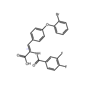 O=C(O)/C(=C/c1ccc(Oc2ccccc2Br)cc1)NC(=O)c1ccc(F)c(F)c1